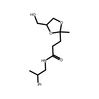 CC(C)C(C)CNC(=O)CCC1(C)OCC(CO)O1